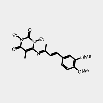 CCn1c(/N=C(C)/C=C/c2ccc(OC)c(OC)c2)c(C)c(=O)n(CC)c1=O